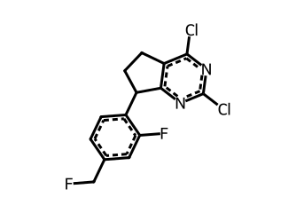 FCc1ccc(C2CCc3c(Cl)nc(Cl)nc32)c(F)c1